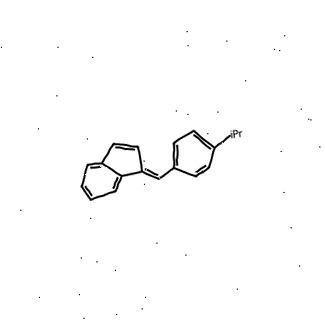 CC(C)c1ccc(/C=C2\C=Cc3ccccc32)cc1